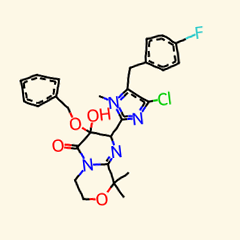 Cn1c(C2N=C3N(CCOC3(C)C)C(=O)C2(O)OCc2ccccc2)nc(Cl)c1Cc1ccc(F)cc1